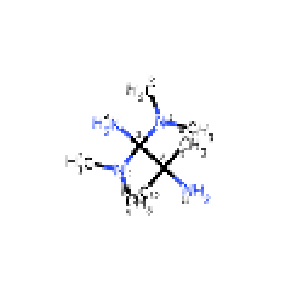 CN(C)C(N)(N(C)C)C(C)(C)N